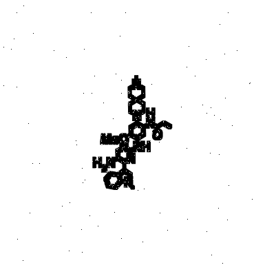 C=CC(=O)Nc1cc(Nc2ncc(N)c(-c3cn(C)c4ccccc34)n2)c(OC)cc1N1CCC2(CCN(C)CC2)CC1